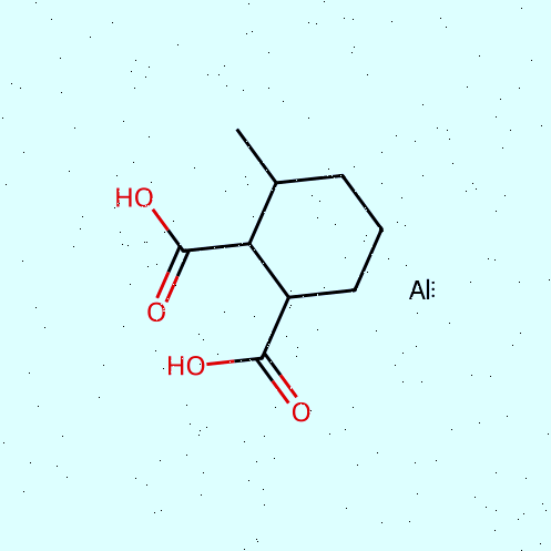 CC1CCCC(C(=O)O)C1C(=O)O.[Al]